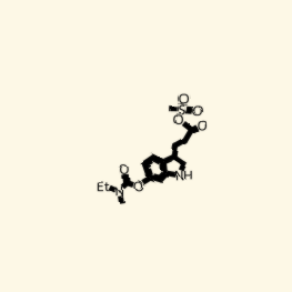 CCN(C)C(=O)Oc1ccc2c(c1)NCC2CCC(=O)OS(C)(=O)=O